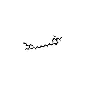 CCCC1CCN(CCCCCCCCCN2CCC(CCC)[C@@H](O)C2)C[C@@H]1O